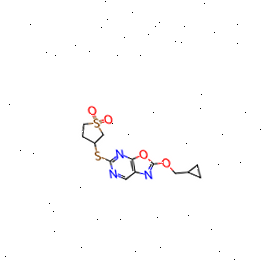 O=S1(=O)CCC(Sc2ncc3nc(OCC4CC4)oc3n2)C1